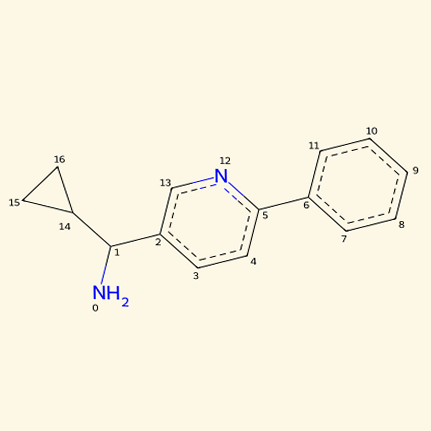 NC(c1ccc(-c2ccccc2)nc1)C1CC1